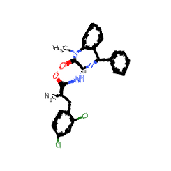 CC(Cc1ccc(Cl)cc1Cl)C(=O)N[C@H]1N=C(c2ccccc2)c2ccccc2N(C)C1=O